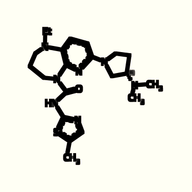 CCN1CCCN(C(=O)Nc2ncc(C)s2)c2nc(N3CC[C@H](N(C)C)C3)ccc21